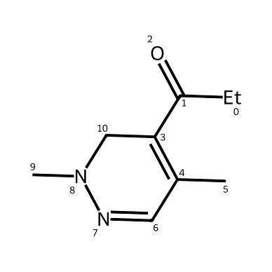 CCC(=O)C1=C(C)C=NN(C)C1